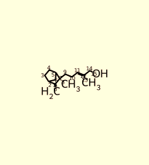 C=C1C2CCC(C2)[C@@]1(C)CC/C=C(\C)CO